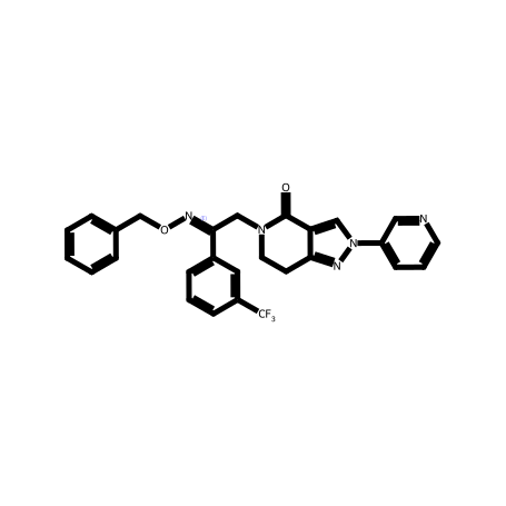 O=C1c2cn(-c3cccnc3)nc2CCN1C/C(=N/OCc1ccccc1)c1cccc(C(F)(F)F)c1